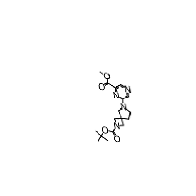 COC(=O)c1cncc(N2CCC3(CN(C(=O)OC(C)(C)C)C3)C2)n1